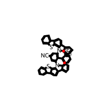 N#Cc1cc(-n2c3ccccc3c3ccc4c5ccccc5sc4c32)c(-c2ccccc2C(F)(F)F)c(-n2c3ccccc3c3ccc4c5ccccc5sc4c32)c1